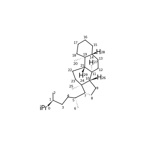 CC(C)[C@@H](C)CC[C@@H](C)[C@H]1CC[C@H]2[C@@H]3CC[C@H]4CCCC[C@]4(C)[C@H]3CC[C@]12C